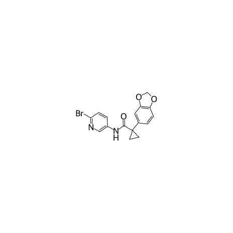 O=C(Nc1ccc(Br)nc1)C1(c2ccc3c(c2)OCO3)CC1